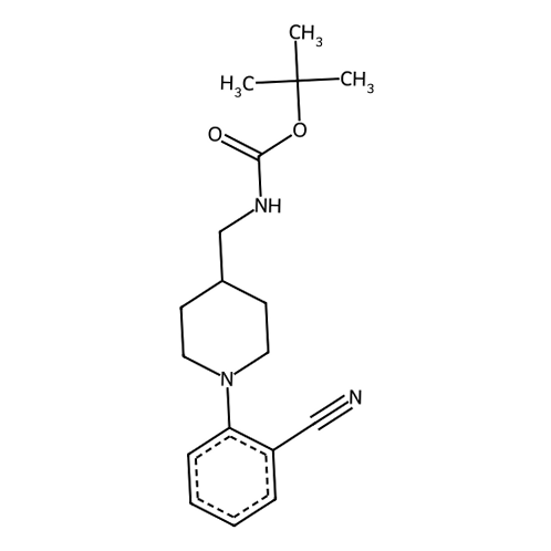 CC(C)(C)OC(=O)NCC1CCN(c2ccccc2C#N)CC1